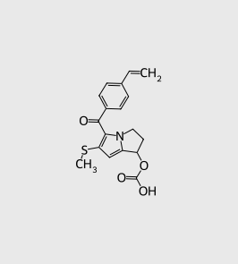 C=Cc1ccc(C(=O)c2c(SC)cc3n2CCC3OC(=O)O)cc1